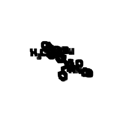 CC(C)(C)c1cc(-c2sc(C(=O)NC3CCOCC3)nc2CC2CCCCC2)ccc1S(=O)(=O)N1CCOCC1(C)C